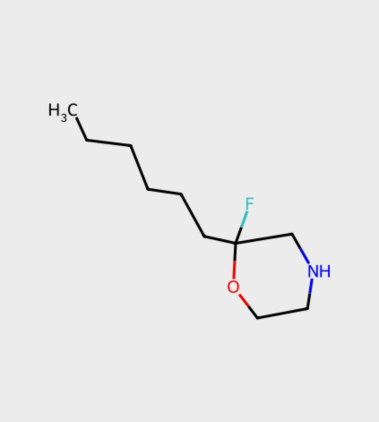 CCCCCCC1(F)CNCCO1